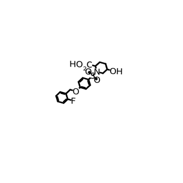 O=C(O)C1CCC(O)CN1S(=O)(=O)c1ccc(OCc2ccccc2F)cc1